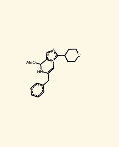 COC1NC(Cc2ccccc2)=Cn2c1cnc2C1CCOCC1